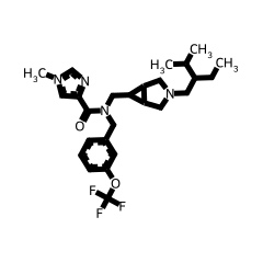 CCC(CN1CC2C(C1)C2CN(Cc1cccc(OC(F)(F)F)c1)C(=O)c1cn(C)cn1)C(C)C